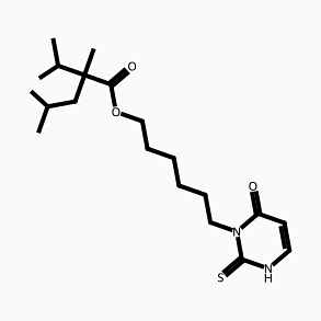 CC(C)CC(C)(C(=O)OCCCCCCn1c(=O)cc[nH]c1=S)C(C)C